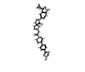 Cn1cnc(-c2ccc(C3=CCN(C(=O)CN4CCC5(CCN(c6ccc7[nH]nc(C8CC8)c7c6)C5=O)C4)CC3)cc2)n1